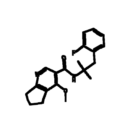 COc1c(C(=O)NC(C)(C)Cc2ccccc2F)cnc2c1CCC2